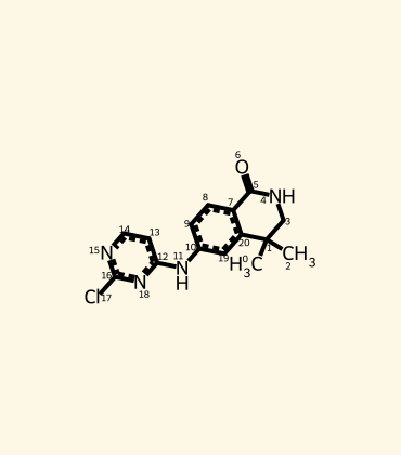 CC1(C)CNC(=O)c2ccc(Nc3ccnc(Cl)n3)cc21